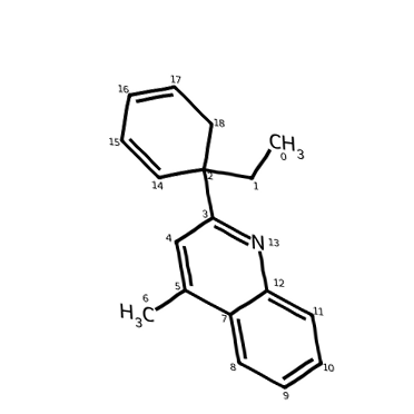 CCC1(c2cc(C)c3ccccc3n2)C=CC=CC1